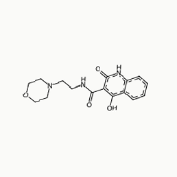 O=C(NCCN1CCOCC1)c1c(O)c2ccccc2[nH]c1=O